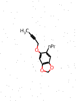 CC#CCOc1cc2c(cc1CCC)OCO2